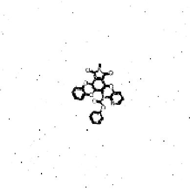 Cn1c(=O)c2c3oc4ccccc4oc3c3c(oc4cccnc4n3C(=O)Oc3ccccc3)c2c1=O